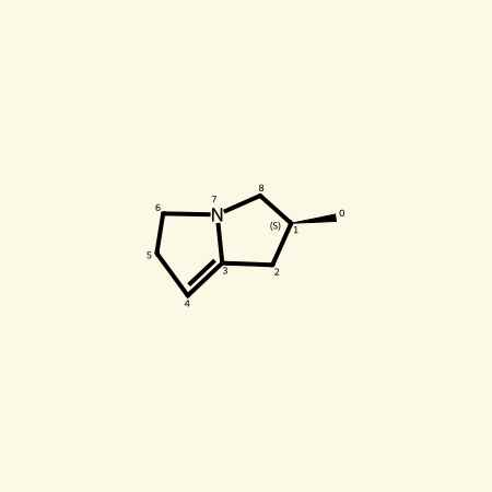 C[C@H]1CC2=CCCN2C1